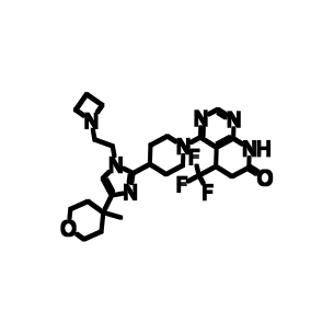 CC1(c2cn(CCN3CCC3)c(C3CCN(c4ncnc5c4C(C(F)(F)F)CC(=O)N5)CC3)n2)CCOCC1